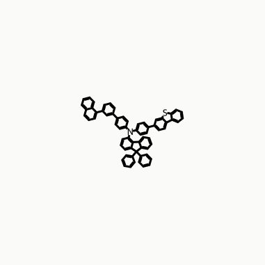 c1ccc(C2(c3ccccc3)c3ccccc3-c3c(N(c4ccc(-c5cccc(-c6cccc7ccccc67)c5)cc4)c4ccc(-c5ccc6c(c5)sc5ccccc56)cc4)cccc32)cc1